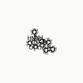 CC1C(c2ccc3oc4cccc(C5NC(c6ccccc6)NC(c6ccccc6)N5)c4c3c2)=CC=C2c3c(cccc3-n3c4ccccc4c4ccccc43)SC21